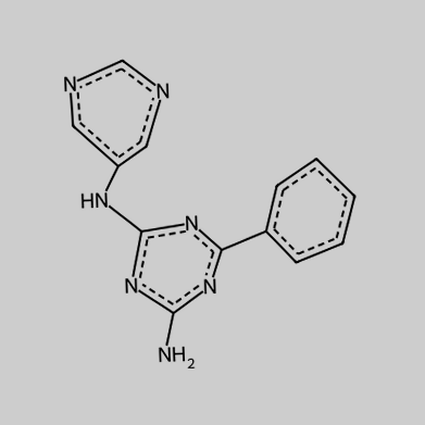 Nc1nc(Nc2cncnc2)nc(-c2ccccc2)n1